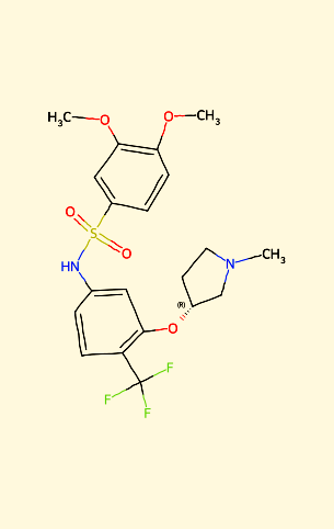 COc1ccc(S(=O)(=O)Nc2ccc(C(F)(F)F)c(O[C@@H]3CCN(C)C3)c2)cc1OC